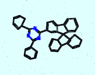 C1=CCC(c2nc(-c3ccccc3)nc(-c3ccc4c(c3)C3(C5=C(C=CCC5)C5C=CC=CC53)c3ccccc3-4)n2)C=C1